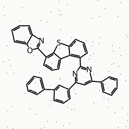 c1ccc(-c2cccc(-c3cc(-c4ccccc4)nc(-c4cccc5sc6c(-c7nc8ccccc8o7)cccc6c45)n3)c2)cc1